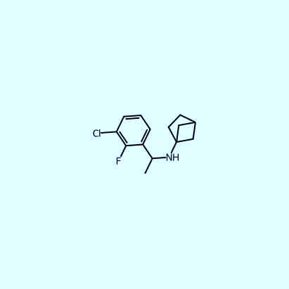 CC(NC12CCC(C1)C2)c1cccc(Cl)c1F